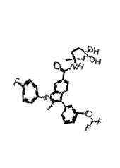 Cc1c(-c2cccc(OC(F)F)c2)c2ccc(C(=O)NC3(C)CCS(O)(O)C3)cc2n1-c1ccc(F)cc1